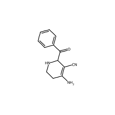 N#CC1=C(N)CCNC1C(=O)c1ccccc1